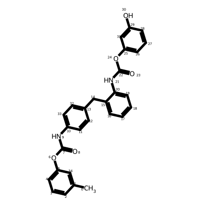 Cc1cccc(OC(=O)Nc2ccc(Cc3ccccc3NC(=O)Oc3cccc(O)c3)cc2)c1